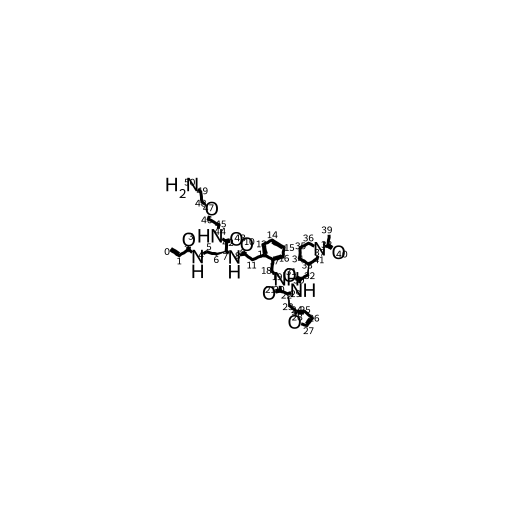 C=CC(=O)NCC[C@H](NC(=O)Cc1ccccc1CNC(=O)[C@H](Cc1ccco1)NC(=O)C[C@H]1CCCN(C(C)=O)C1)C(=O)NCCOCCN